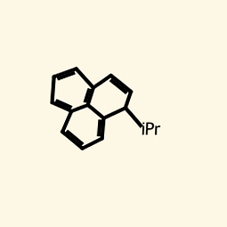 CC(C)C1C=Cc2cccc3cccc1c23